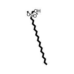 CCCCCCCCCCCCCCCCCC[Si](CO)(OC)OC